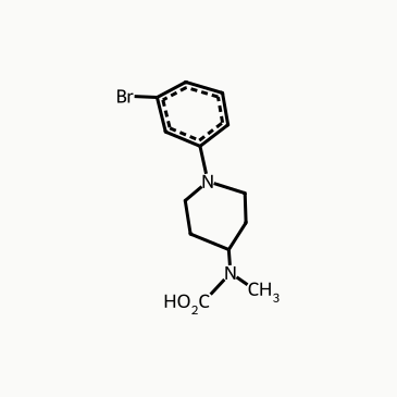 CN(C(=O)O)C1CCN(c2cccc(Br)c2)CC1